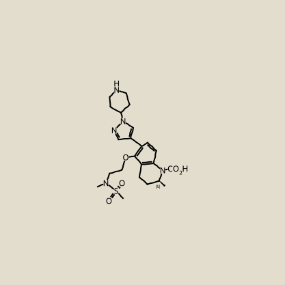 C[C@H]1CCc2c(ccc(-c3cnn(C4CCNCC4)c3)c2OCCN(C)S(C)(=O)=O)N1C(=O)O